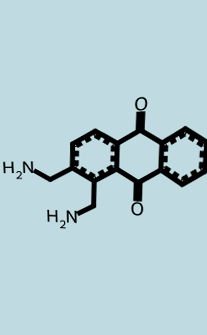 NCc1ccc2c(c1CN)C(=O)c1ccccc1C2=O